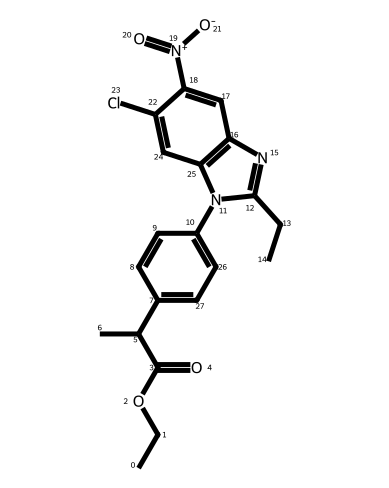 CCOC(=O)C(C)c1ccc(-n2c(CC)nc3cc([N+](=O)[O-])c(Cl)cc32)cc1